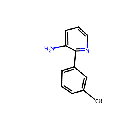 N#Cc1cccc(-c2ncccc2N)c1